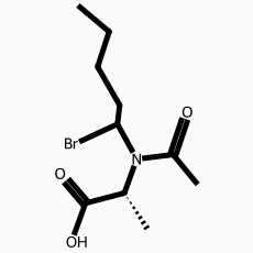 CCCCC(Br)N(C(C)=O)[C@H](C)C(=O)O